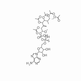 C=C([C@@H](OC(C)=O)C(OC)OP(=O)(O)OP(O)(=S)OCC1OC(n2cnc3c(N)ncnc32)C(O)C1O)[C@@H](OC(C)=O)C(OC(C)=O)C(C)[C@@H](COC(C)=O)OC(C)=O